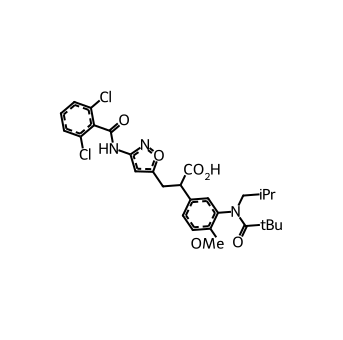 COc1ccc(C(Cc2cc(NC(=O)c3c(Cl)cccc3Cl)no2)C(=O)O)cc1N(CC(C)C)C(=O)C(C)(C)C